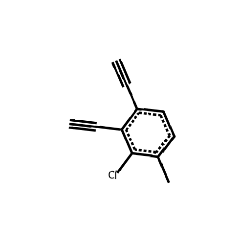 C#Cc1ccc(C)c(Cl)c1C#C